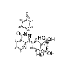 O=c1c2cccnc2c(-c2ccc(C(O)(O)F)c(C(O)(O)F)c2)nn1-c1ccc(F)cc1